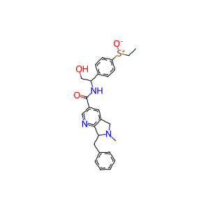 CC[S+]([O-])c1ccc(C(CO)NC(=O)c2cnc3c(c2)CN(C)C3Cc2ccccc2)cc1